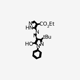 CCOC(=O)c1cn[nH]c1/N=N/c1c(C(C)(C)C)nn(-c2ccccc2)c1O